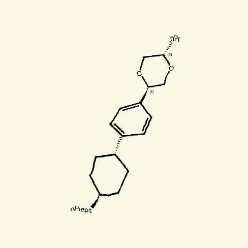 CCCCCCC[C@H]1CC[C@H](c2ccc([C@@H]3CO[C@@H](CCC)CO3)cc2)CC1